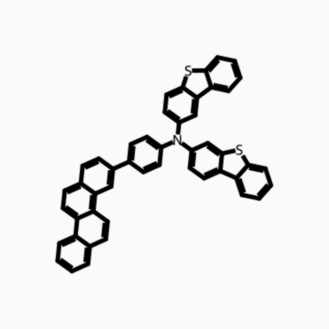 c1ccc2c(c1)ccc1c3cc(-c4ccc(N(c5ccc6c(c5)sc5ccccc56)c5ccc6sc7ccccc7c6c5)cc4)ccc3ccc21